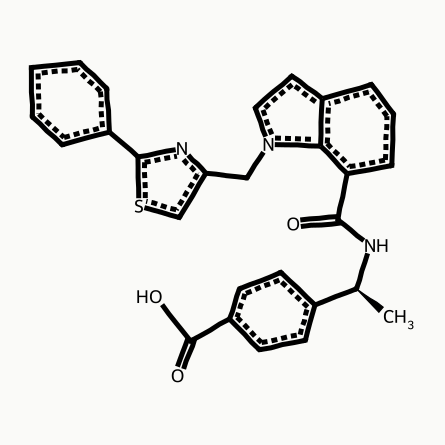 C[C@H](NC(=O)c1cccc2ccn(Cc3csc(-c4ccccc4)n3)c12)c1ccc(C(=O)O)cc1